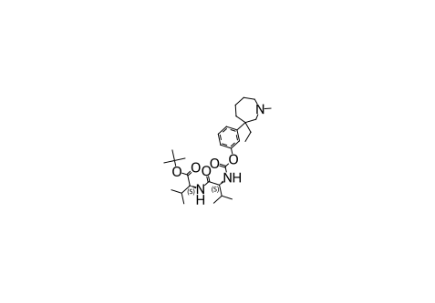 CCC1(c2cccc(OC(=O)N[C@H](C(=O)N[C@H](C(=O)OC(C)(C)C)C(C)C)C(C)C)c2)CCCCN(C)C1